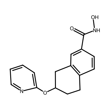 O=C(NO)c1ccc2c(c1)CC(Oc1ccccn1)CC2